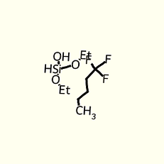 CCCCC(F)(F)F.CCO[SiH](O)OCC